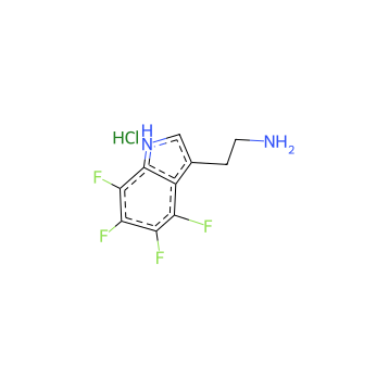 Cl.NCCc1c[nH]c2c(F)c(F)c(F)c(F)c12